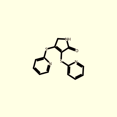 O=C1NCC(Sc2ccccn2)=C1Sc1ccccn1